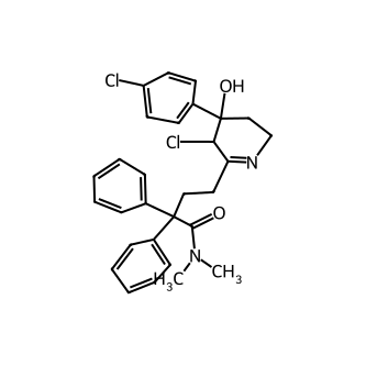 CN(C)C(=O)C(CCC1=NCCC(O)(c2ccc(Cl)cc2)C1Cl)(c1ccccc1)c1ccccc1